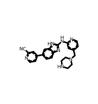 N#Cc1cc(-c2ccc3nc(Nc4cc(CN5CCNCC5)ccn4)[nH]c3c2)ccn1